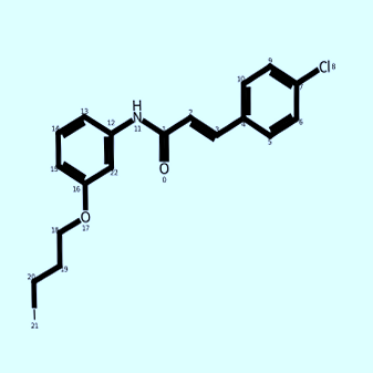 O=C(/C=C/c1ccc(Cl)cc1)Nc1cccc(OCCCI)c1